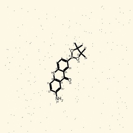 CC1(C)OB(c2ccc3sc4ccc(N)cc4c(=O)c3c2)OC1(C)C